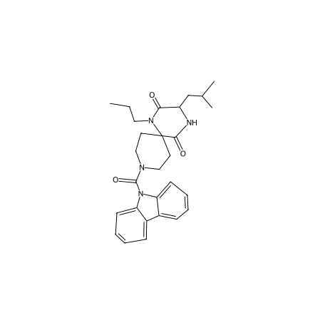 CCCN1C(=O)C(CC(C)C)NC(=O)C12CCN(C(=O)n1c3ccccc3c3ccccc31)CC2